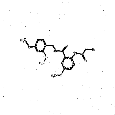 COc1ccc(CNC(=O)c2cc(OC)ccc2NC(=O)CBr)c(OC)c1